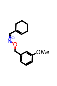 COc1cccc(CO/N=[C]\C2=CCCCC2)c1